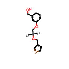 CCC(CC)(COc1cccc(CO)c1)OCc1ccsc1